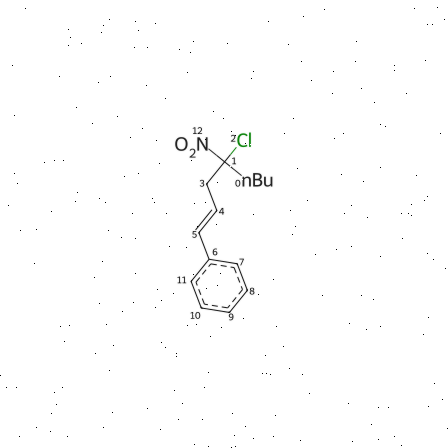 CCCCC(Cl)(CC=Cc1ccccc1)[N+](=O)[O-]